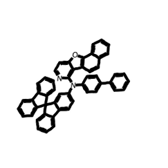 c1ccc(-c2ccc(N(c3ccc4c(c3)C3(c5ccccc5-c5ccccc53)c3ccccc3-4)c3nccc4oc5c6ccccc6ccc5c34)cc2)cc1